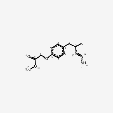 CC(Cc1ccc(OCC(=O)OC(C)(C)C)cc1)N=NN